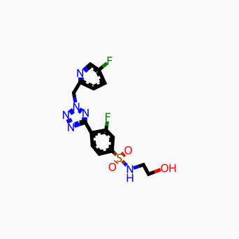 O=S(=O)(NCCO)c1ccc(-c2nnn(Cc3ccc(F)cn3)n2)c(F)c1